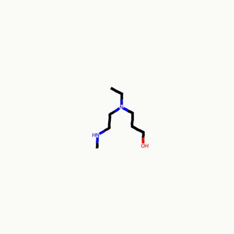 CCN(CCCO)CCNC